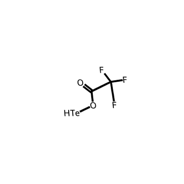 O=C(O[TeH])C(F)(F)F